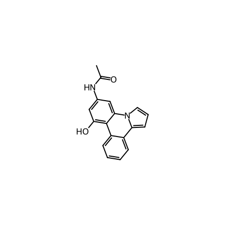 CC(=O)Nc1cc(O)c2c3ccccc3c3cccn3c2c1